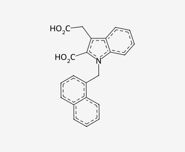 O=C(O)Cc1c(C(=O)O)n(Cc2cccc3ccccc23)c2ccccc12